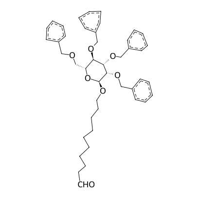 O=CCCCCCCCCCO[C@H]1O[C@H](COCc2ccccc2)[C@@H](OCc2ccccc2)[C@H](OCc2ccccc2)[C@@H]1OCc1ccccc1